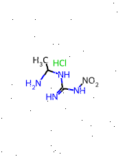 CC(N)NC(=N)N[N+](=O)[O-].Cl